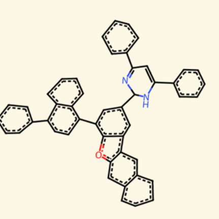 C1=C(c2ccccc2)NC(c2cc(-c3ccc(-c4ccccc4)c4ccccc34)c3oc4cc5ccccc5cc4c3c2)N=C1c1ccccc1